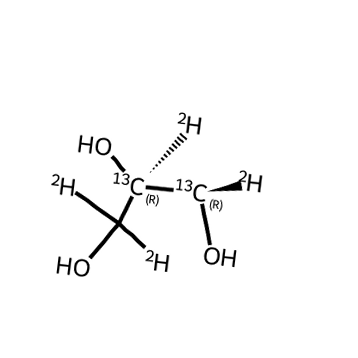 [2H][13C@@H](O)[13C@]([2H])(O)C([2H])([2H])O